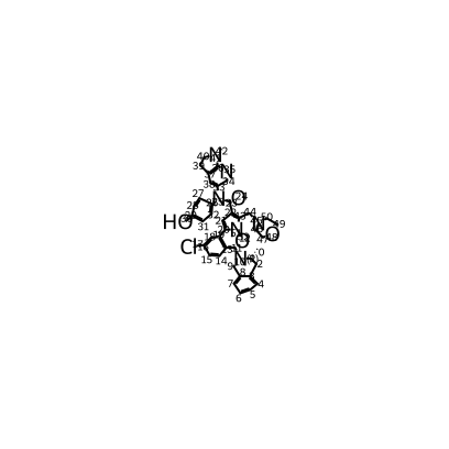 C[C@@H]1Cc2ccccc2CN1C(=O)c1ccc(Cl)cc1-c1cc(C(=O)N(c2ccc(O)cc2)c2cnc3c(c2)CCN3C)c(CN2CCOCC2)n1C